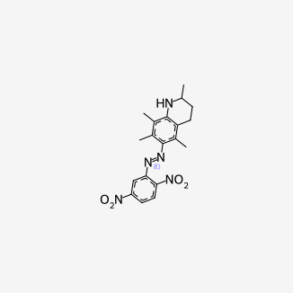 Cc1c(C)c2c(c(C)c1/N=N/c1cc([N+](=O)[O-])ccc1[N+](=O)[O-])CCC(C)N2